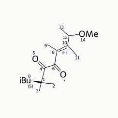 CC[C@H](C)C(C)(C)C(=O)C(=O)/C(C)=C(\C)C(C)OC